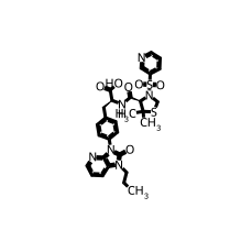 CCCn1c(=O)n(-c2ccc(C[C@H](NC(=O)[C@H]3N(S(=O)(=O)c4cccnc4)CSC3(C)C)C(=O)O)cc2)c2ncccc21